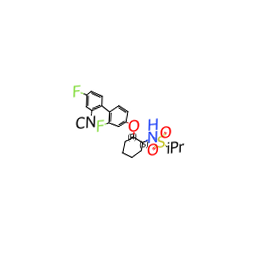 CC(C)S(=O)(=O)N[C@H]1CCCC[C@H]1Oc1ccc(-c2ccc(F)cc2C#N)c(F)c1